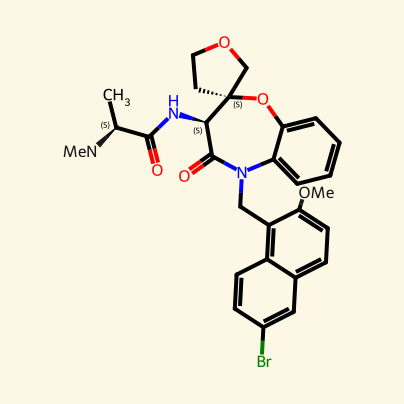 CN[C@@H](C)C(=O)N[C@@H]1C(=O)N(Cc2c(OC)ccc3cc(Br)ccc23)c2ccccc2O[C@@]12CCOC2